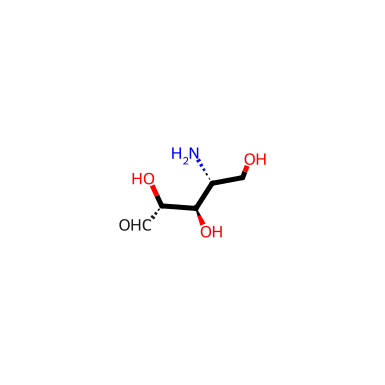 N[C@H](CO)[C@@H](O)[C@@H](O)C=O